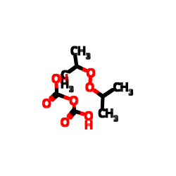 CC(C)OOC(C)C.O=C(O)OC(=O)O